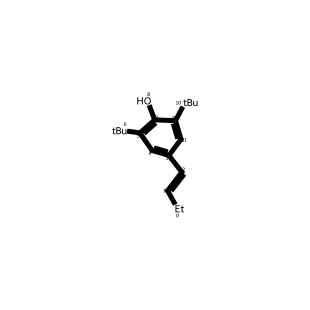 CCC=Cc1cc(C(C)(C)C)c(O)c(C(C)(C)C)c1